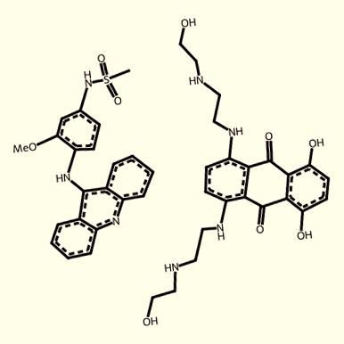 COc1cc(NS(C)(=O)=O)ccc1Nc1c2ccccc2nc2ccccc12.O=C1c2c(O)ccc(O)c2C(=O)c2c(NCCNCCO)ccc(NCCNCCO)c21